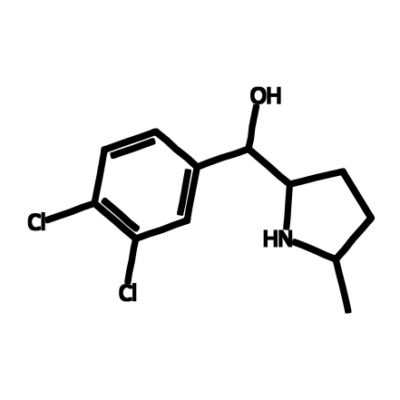 CC1CCC(C(O)c2ccc(Cl)c(Cl)c2)N1